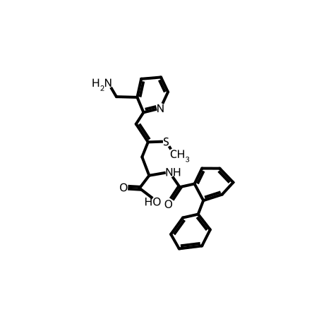 CSC(=Cc1ncccc1CN)CC(NC(=O)c1ccccc1-c1ccccc1)C(=O)O